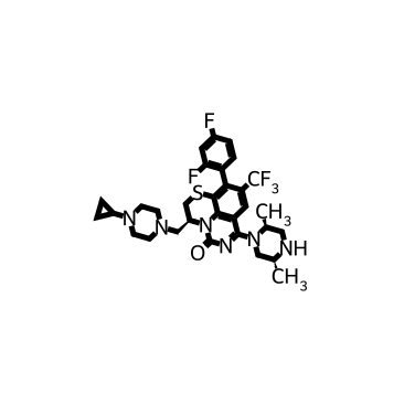 C[C@@H]1CN(c2nc(=O)n3c4c(c(-c5ccc(F)cc5F)c(C(F)(F)F)cc24)SC[C@@H]3CN2CCN(C3CC3)CC2)[C@@H](C)CN1